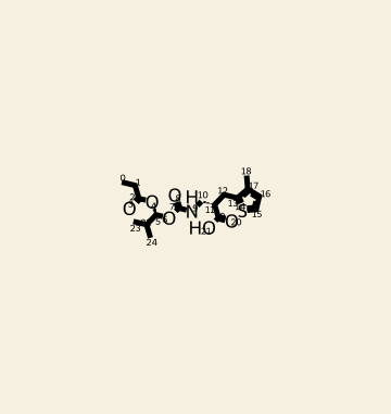 CCC(=O)O[C@@H](OC(=O)NC[C@H](Cc1sccc1C)C(=O)O)C(C)C